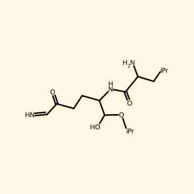 CC(C)CC(N)C(=O)NC(CCC(=O)C=N)C(O)OC(C)C